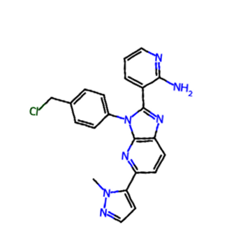 Cn1nccc1-c1ccc2nc(-c3cccnc3N)n(-c3ccc(CCl)cc3)c2n1